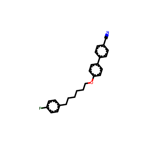 N#Cc1ccc(-c2ccc(OCCCCCCc3ccc(F)cc3)cc2)cc1